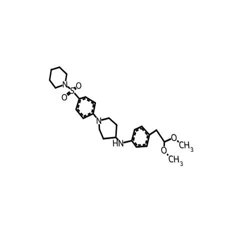 COC(Cc1ccc(NC2CCN(c3ccc(S(=O)(=O)N4CCCCC4)cc3)CC2)cc1)OC